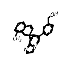 Cc1cccc2c1CC1(C=C2)c2c(-c3cccc(CO)c3)cn3ccnc3c21